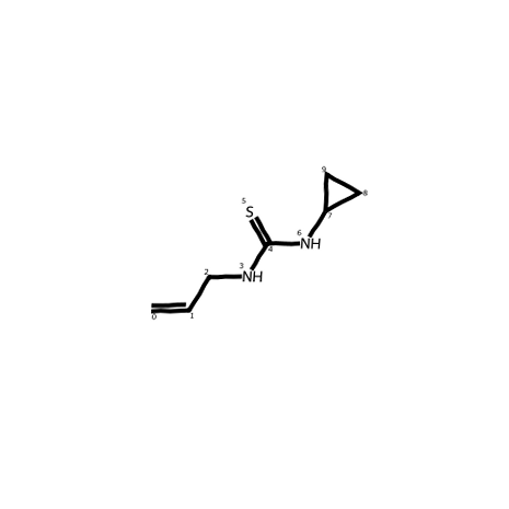 C=CCNC(=S)NC1CC1